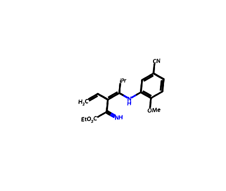 C=C/C(C(=N)C(=O)OCC)=C(/Nc1cc(C#N)ccc1OC)C(C)C